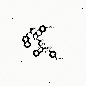 COc1ccc(S(=O)(=O)NC(Cc2ccccc2)P(=O)(O)CC(=O)N[C@@H](Cc2cccc(OC)c2)C(=O)N[C@@H](Cc2ccc3ccccc3c2)C(N)=O)cc1